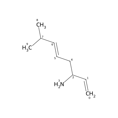 C=CC(N)C/C=C/C(C)C